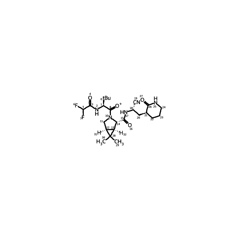 CC(C)(C)[C@H](NC(=O)C(F)F)C(=O)N1C[C@H]2[C@@H]([C@H]1C(=O)N[C@H](C#N)C[C@@H]1CCCNC1=O)C2(C)C